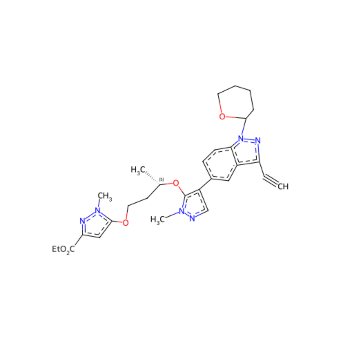 C#Cc1nn(C2CCCCO2)c2ccc(-c3cnn(C)c3O[C@@H](C)CCOc3cc(C(=O)OCC)nn3C)cc12